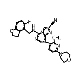 Cc1nc(N2CCOCC2)ccc1-c1cnc(NCc2c(F)ccc3c2CCO3)n2cc(C#N)nc12